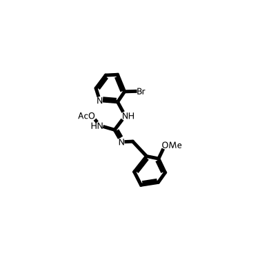 COc1ccccc1CN=C(NOC(C)=O)Nc1ncccc1Br